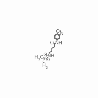 CC(C)S(=O)(=O)NCCCCC(=O)Nc1ccc2ocnc2c1